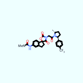 CNC(=O)Nc1ccc2c(c1)CCC21OC(=O)N(CC(=O)N2[C@H](C)CC[C@H]2c2ccc(C(F)(F)F)cc2)C1=O